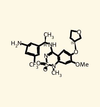 COc1cc2c(cc1O[C@H]1CCOC1)C(N[C@H](C)c1cc(N)cc(C(F)(F)F)c1)=NS(=O)(=O)N2C